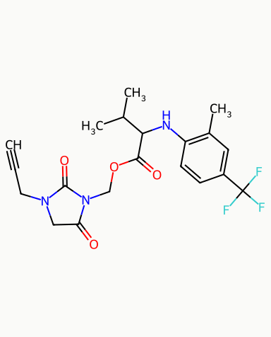 C#CCN1CC(=O)N(COC(=O)C(Nc2ccc(C(F)(F)F)cc2C)C(C)C)C1=O